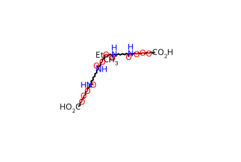 CCC(OCCC(=O)NCCCCCCC(=O)NCCOCCOCCOCCC(=O)O)[C@H](C)COCCC(=O)NCCCCCCCC(=O)NCCOCCOCCOCCC(=O)O